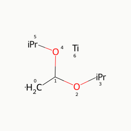 [CH2]C(OC(C)C)OC(C)C.[Ti]